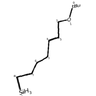 CC(C)(C)OCCCCCCC[SiH3]